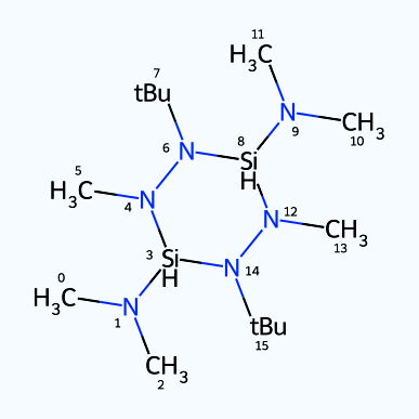 CN(C)[SiH]1N(C)N(C(C)(C)C)[SiH](N(C)C)N(C)N1C(C)(C)C